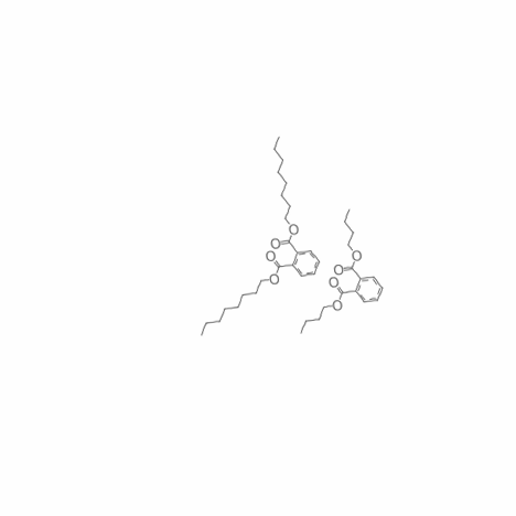 CCCCCCCCOC(=O)c1ccccc1C(=O)OCCCCCCCC.CCCCOC(=O)c1ccccc1C(=O)OCCCC